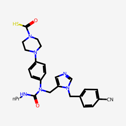 CCCNC(=O)N(Cc1cncn1Cc1ccc(C#N)cc1)c1ccc(N2CCN(C(=O)S)CC2)cc1